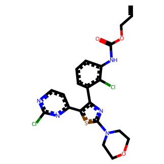 C=CCOC(=O)Nc1cccc(-c2nc(N3CCOCC3)sc2-c2ccnc(Cl)n2)c1Cl